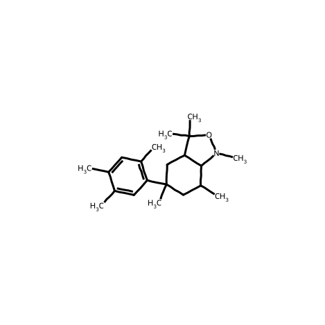 Cc1cc(C)c(C2(C)CC(C)C3C(C2)C(C)(C)ON3C)cc1C